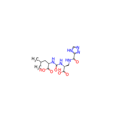 CC(C)CC(NC(=O)N[C@@H](CNC(=O)c1nnc[nH]1)C(=O)O)C(=O)O